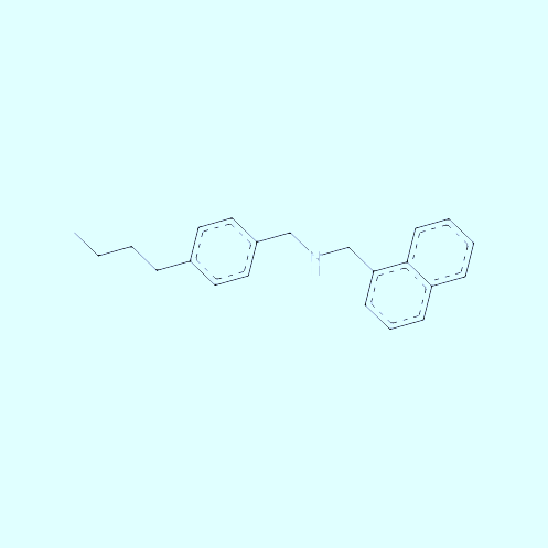 CCCCc1ccc(CNCc2cccc3ccccc23)cc1